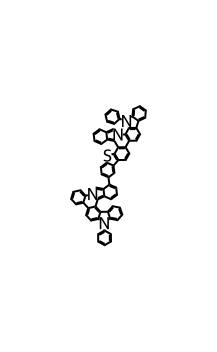 c1ccc(-n2c3ccccc3c3c4c(ccc32)c2ccccc2n2cc3c(-c5ccc6sc7c(ccc8c9ccc%10c%11ccccc%11n(-c%11ccccc%11)c%10c9n9cc%10ccccc%10c9c87)c6c5)cccc3c42)cc1